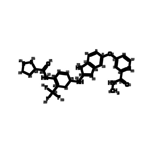 CNC(=O)c1cc(Oc2ccc3[nH]c(NC4C=CC(NC(=O)C5CCSS5)=C(C(F)(F)F)C4)nc3c2)ccn1